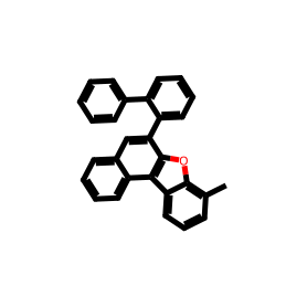 Cc1cccc2c1oc1c(-c3ccccc3-c3ccccc3)cc3ccccc3c12